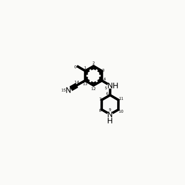 Cc1ccc(NC2CCNCC2)cc1C#N